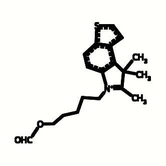 CC1=[N+](CCCCCOC=O)c2ccc3sccc3c2C1(C)C